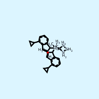 CC1=Cc2c(C3CC3)cccc2[CH]1[Hf]([CH3])([CH3])([CH]1C(C)=Cc2c(C3CC3)cccc21)=[Si]1[SiH2][SiH2][SiH2]1